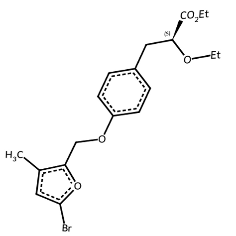 CCOC(=O)[C@H](Cc1ccc(OCc2oc(Br)cc2C)cc1)OCC